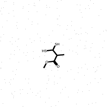 COC(=O)C(C)C(S)S